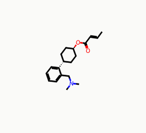 CC=CC(=O)O[C@H]1CC[C@H](c2ccccc2CN(C)C)CC1